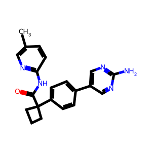 Cc1ccc(NC(=O)C2(c3ccc(-c4cnc(N)nc4)cc3)CCC2)nc1